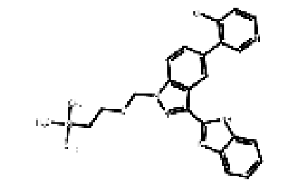 C[Si](C)(C)CCOCn1nc(-c2nc3ccccc3[nH]2)c2cc(-c3cnccc3Cl)ccc21